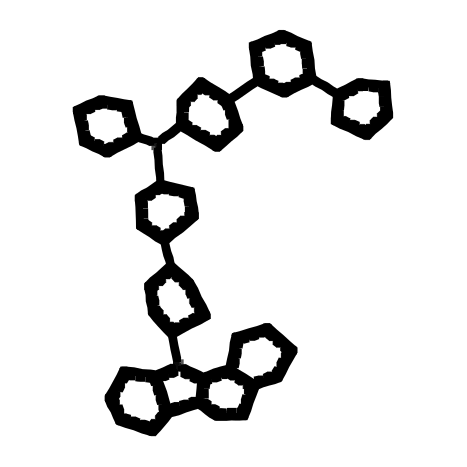 c1ccc(-c2cccc(-c3ccc(N(c4ccccc4)c4ccc(-c5ccc(-n6c7ccccc7c7ccc8ccccc8c76)cc5)cc4)cc3)c2)cc1